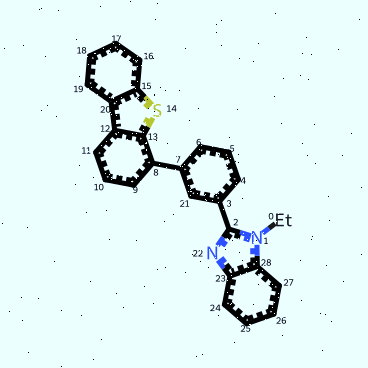 CCn1c(-c2cccc(-c3cccc4c3sc3ccccc34)c2)nc2ccccc21